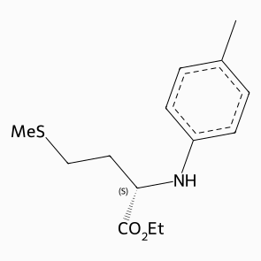 CCOC(=O)[C@H](CCSC)Nc1ccc(C)cc1